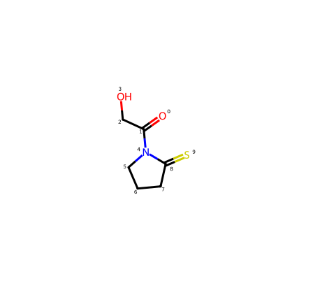 O=C(CO)N1CCCC1=S